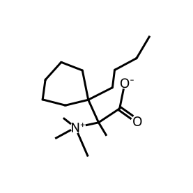 CCCCC1(C(C)(C(=O)[O-])[N+](C)(C)C)CCCCC1